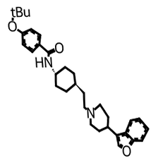 CC(C)(C)Oc1ccc(C(=O)N[C@H]2CC[C@H](CCN3CCC(c4coc5ccccc45)CC3)CC2)cc1